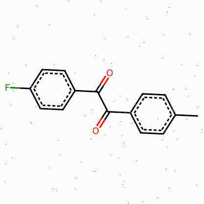 Cc1ccc(C(=O)C(=O)c2ccc(F)cc2)cc1